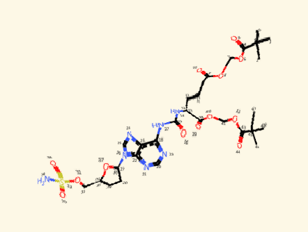 CC(C)(C)C(=O)OCOC(=O)CC[C@H](NC(=O)Nc1ncnc2c1ncn2[C@H]1CC[C@@H](COS(N)(=O)=O)O1)C(=O)OCOC(=O)C(C)(C)C